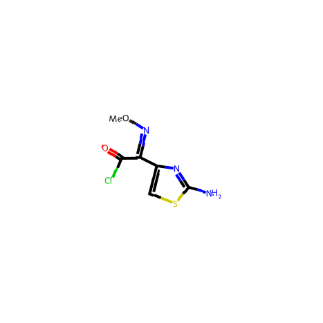 CO/N=C(\C(=O)Cl)c1csc(N)n1